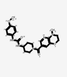 CN1CCOc2cc(C(=O)N3CCC(NC(=O)Nc4ccc(OC(F)(F)F)cc4)CC3)cnc21